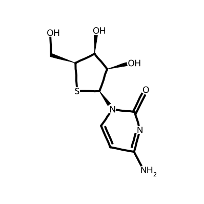 Nc1ccn([C@H]2S[C@@H](CO)[C@@H](O)[C@H]2O)c(=O)n1